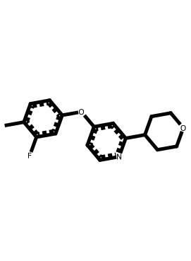 Cc1ccc(Oc2ccnc(C3CCOCC3)c2)cc1F